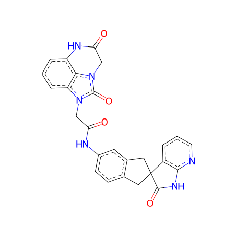 O=C(Cn1c(=O)n2c3c(cccc31)NC(=O)C2)Nc1ccc2c(c1)CC1(C2)C(=O)Nc2ncccc21